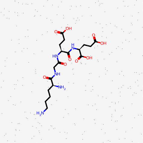 NCCCC[C@H](N)C(=O)NCC(=O)N[C@@H](CCC(=O)O)C(=O)N[C@@H](CCC(=O)O)C(=O)O